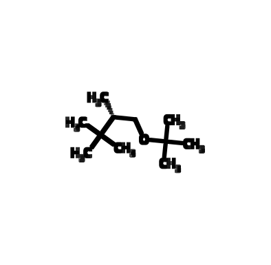 C[C@H](COC(C)(C)C)C(C)(C)C